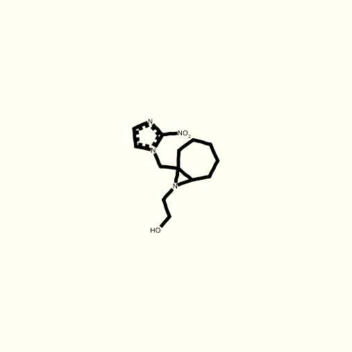 O=[N+]([O-])c1nccn1CC12CCCCCC1N2CCO